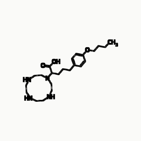 CCCCOc1ccc(CCCC(C(=O)O)N2CCNCCNCCNCC2)cc1